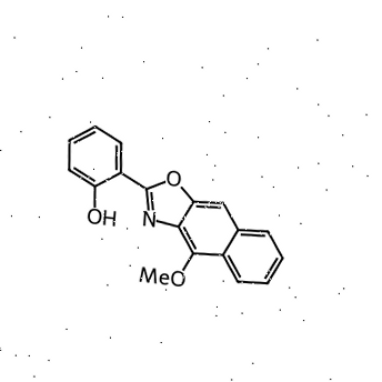 COc1c2ccccc2cc2oc(-c3ccccc3O)nc12